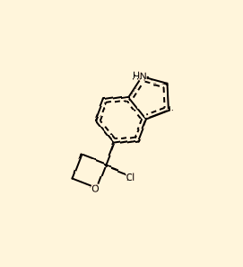 ClC1(c2ccc3[nH]c[c]c3c2)CCO1